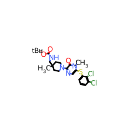 Cn1c(Sc2cccc(Cl)c2Cl)cnc(N2CCC(C)(CNC(=O)OC(C)(C)C)CC2)c1=O